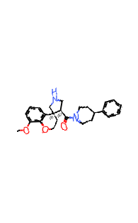 COc1cccc2c1OCC[C@]21CNC[C@H]1C(=O)N1CCC(c2ccccc2)CC1